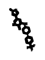 Cn1cc(-c2c[nH]c(=O)c(N[C@H]3CC[C@@H](c4ccc(C(F)(F)F)cc4)CC3)c2)cn1